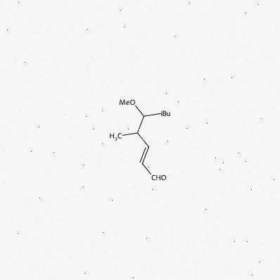 CCC(C)C(OC)C(C)C=CC=O